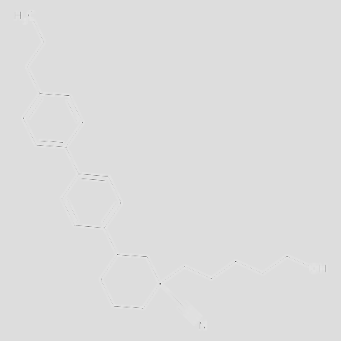 CCCc1ccc(-c2ccc(C3CCCC(C#N)(CCCCCO)C3)cc2)cc1